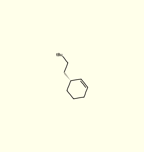 CC(C)(C)CC[C@@H]1C=CCCC1